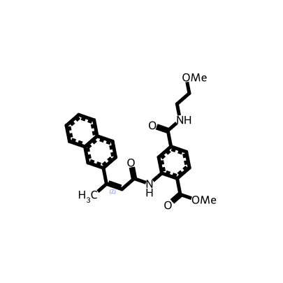 COCCNC(=O)c1ccc(C(=O)OC)c(NC(=O)/C=C(/C)c2ccc3ccccc3c2)c1